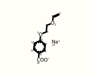 C=COCCOc1ccc(C(=O)[O-])cc1.[Na+]